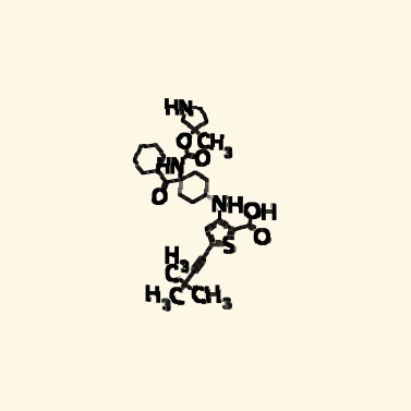 CC(C)(C)C#Cc1cc(N[C@H]2CC[C@@](NC(=O)OC3(C)CCNC3)(C(=O)C3CCCCC3)CC2)c(C(=O)O)s1